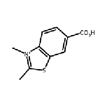 Cc1sc2cc(C(=O)O)ccc2[n+]1C